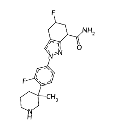 CC1(c2ccc(-n3cc4c(n3)C(C(N)=O)CC(F)C4)cc2F)CCCNC1